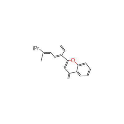 C=C/C(=C\C=C(/C)C(C)C)C1=CC(=C)c2ccccc2O1